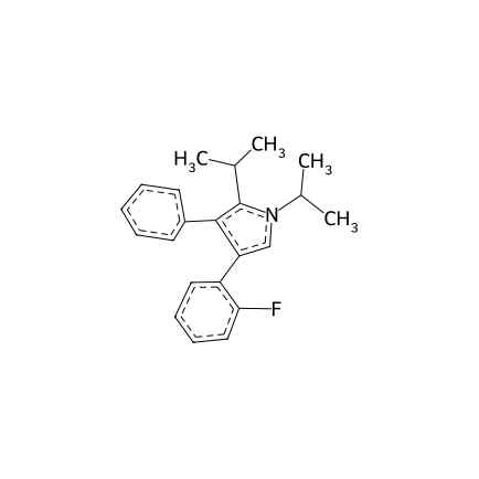 CC(C)c1c(-c2ccccc2)c(-c2ccccc2F)cn1C(C)C